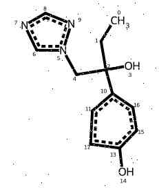 CCC(O)(Cn1cncn1)c1ccc(O)cc1